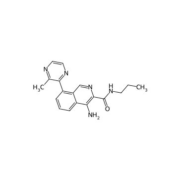 CCCNC(=O)c1ncc2c(-c3nccnc3C)cccc2c1N